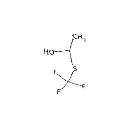 CC(O)SC(F)(F)F